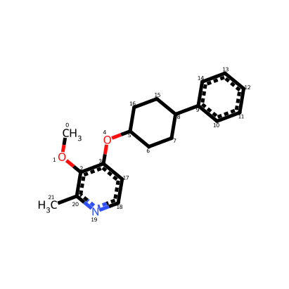 COc1c(OC2CCC(c3ccccc3)CC2)ccnc1C